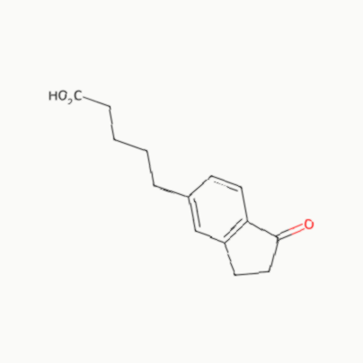 O=C(O)CCCCc1ccc2c(c1)CCC2=O